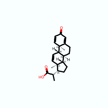 CC(C(=O)O)[C@H]1CC[C@H]2[C@@H]3CCC4=CC(=O)C=C[C@]4(C)[C@H]3C=C[C@]12C